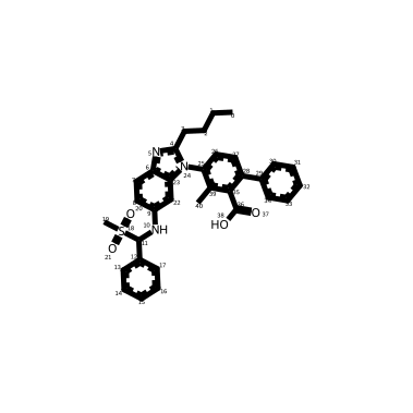 CCCCc1nc2ccc(NC(c3ccccc3)S(C)(=O)=O)cc2n1-c1ccc(-c2ccccc2)c(C(=O)O)c1C